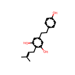 CC(C)=CCc1c(O)cc(CCc2ccc(O)cc2)cc1O